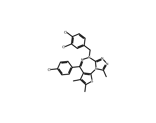 Cc1sc2c(c1C)C(c1ccc(Cl)cc1)=NN(Cc1ccc(Cl)c(Cl)c1)c1nnc(C)n1-2